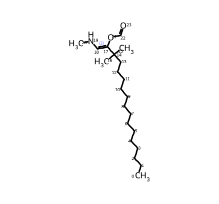 CCCCCCCCCCCCCCC(C)(C)/C(=C/NC)OC=O